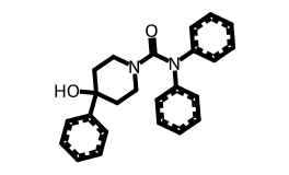 O=C(N1CCC(O)(c2ccccc2)CC1)N(c1ccccc1)c1ccccc1